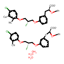 CC(C)O[C@@H](Cc1cccc(OC[C@H](F)COc2ccc(Cl)cc2C#N)c1)C(=O)[O-].CC(C)O[C@@H](Cc1cccc(OC[C@H](F)COc2ccc(Cl)cc2C#N)c1)C(=O)[O-].O.O.O.[Ca+2]